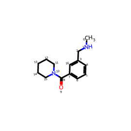 CNCc1cccc(C(=O)N2CCCCC2)c1